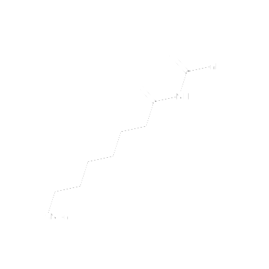 CCCCCCCCCCCCCCCC(=O)NC(=O)CCC